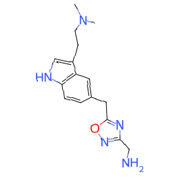 CN(C)CCc1c[nH]c2ccc(Cc3nc(CN)no3)cc12